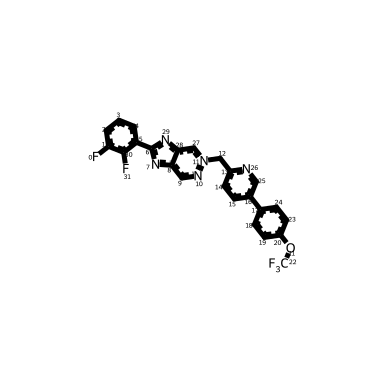 Fc1cccc(-c2nc3cnn(Cc4ccc(-c5ccc(OC(F)(F)F)cc5)cn4)cc-3n2)c1F